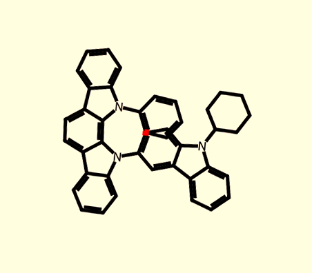 c1ccc(-n2c3ccccc3c3ccc4c5ccccc5n(-c5ccc6c(c5)c5ccccc5n6C5CCCCC5)c4c32)cc1